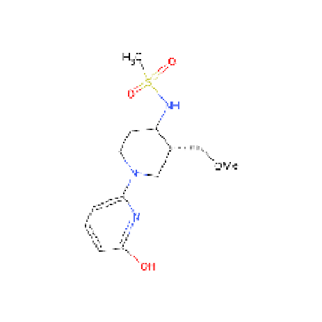 COC[C@@H]1CN(c2cccc(O)n2)CCC1NS(C)(=O)=O